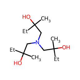 CCC(C)(O)CN(CC(C)(O)CC)CC(C)(O)CC